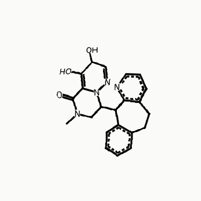 CN1CC(C2c3ccccc3CCc3cccnc32)N2N=CC(O)C(O)=C2C1=O